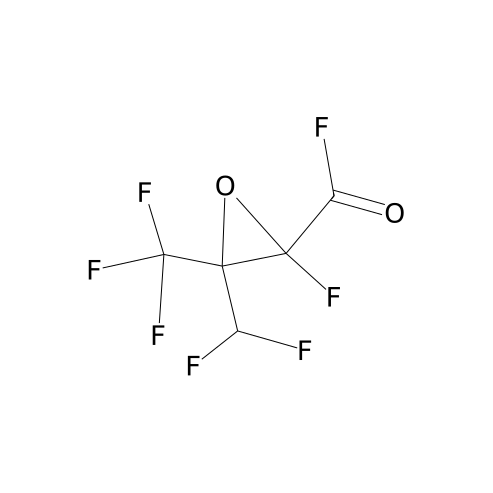 O=C(F)C1(F)OC1(C(F)F)C(F)(F)F